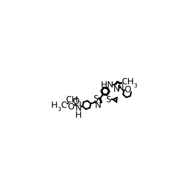 Cc1cc(Nc2ccc(-c3cnc(C4CCC(NC(=O)OC(C)C)CC4)s3)c(SC3CC3)c2)nn1C1CCCCO1